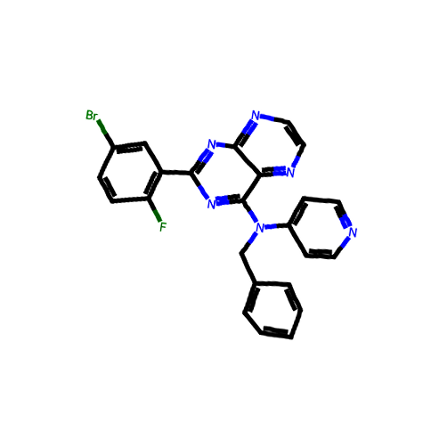 Fc1ccc(Br)cc1-c1nc(N(Cc2ccccc2)c2ccncc2)c2nccnc2n1